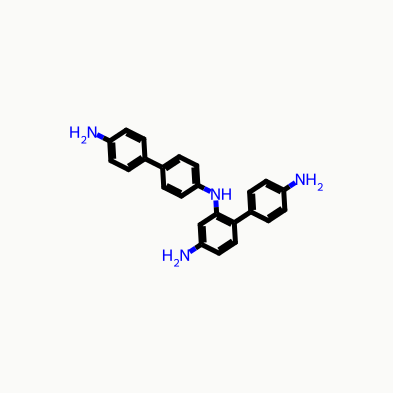 Nc1ccc(-c2ccc(Nc3cc(N)ccc3-c3ccc(N)cc3)cc2)cc1